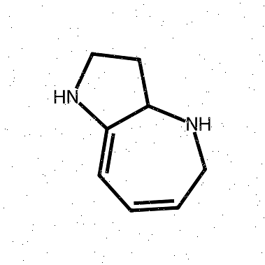 C1=CCNC2CCNC2=C1